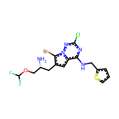 N[C@@H](COC(F)F)Cc1cc2c(NCc3cccs3)nc(Cl)nn2c1Br